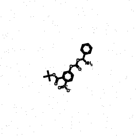 CC(C)(C)OC(=O)c1cc(OC(=O)OC(N)c2ccccc2)ccc1[N+](=O)[O-]